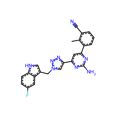 Cc1c(C#N)cccc1-c1cc(-c2cn(Cc3c[nH]c4ccc(F)cc34)nn2)nc(N)n1